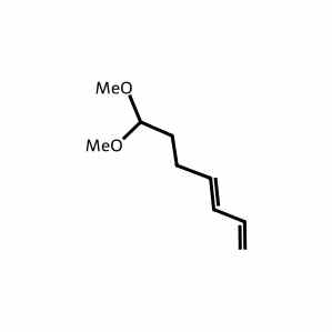 C=CC=CCCC(OC)OC